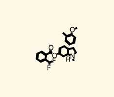 COc1ccc([C@@]23CC=C(OC(=O)c4ccccc4C(F)F)C[C@@H]2N(C)CC3)cc1C